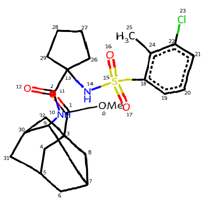 COC(=O)C12CC3CC(C1)C(NC(=O)C1(NS(=O)(=O)c4cccc(Cl)c4C)CCCC1)C(C3)C2